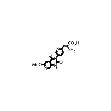 COc1cc2c(=O)n(-c3ccc(CC(N)C(=O)O)nc3)c(=O)n(C)c2cn1